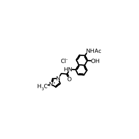 CC(=O)Nc1ccc2c(NC(=O)Cn3cc[n+](C)c3)cccc2c1O.[Cl-]